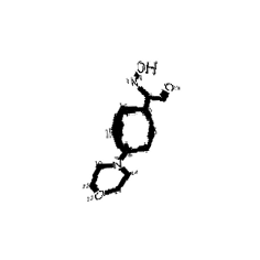 O=CC(=NO)c1ccc(N2CCOCC2)cc1